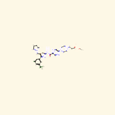 CCOC(=O)CCN1CCN(c2cnc(C(=O)Nc3nc(-c4cc(F)cc(C(F)(F)F)c4)c(CN4CCC[C@H]4C)s3)cn2)CC1